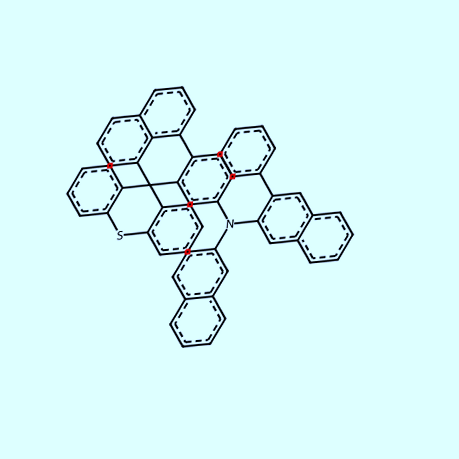 c1ccc(-c2cc3ccccc3cc2N(c2ccc3c(c2)C2(c4ccccc4Sc4ccccc42)c2cccc4cccc-3c24)c2ccc3ccccc3c2)cc1